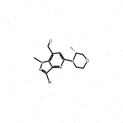 C[C@@H]1COCCN1c1cc(CCl)c2c(n1)c(Br)nn2C